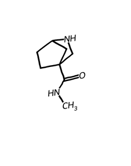 CNC(=O)C12CCC(C1)NC2